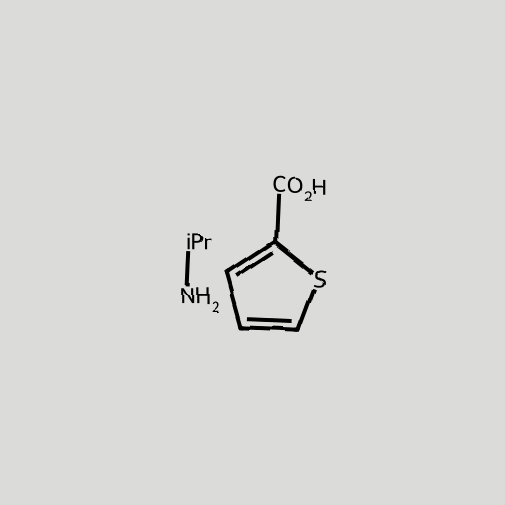 CC(C)N.O=C(O)c1cccs1